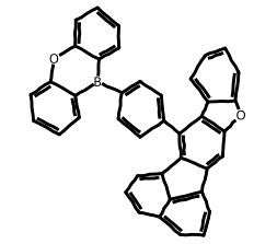 c1ccc2c(c1)Oc1ccccc1B2c1ccc(-c2c3c(cc4oc5ccccc5c24)-c2cccc4cccc-3c24)cc1